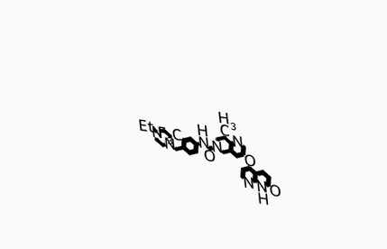 CCN1CCN(Cc2ccc(NC(=O)N3Cc4cc(Oc5ccnc6[nH]c(=O)ccc56)cnc4C(C)C3)cc2C(F)(F)F)CC1